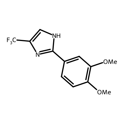 COc1ccc(-c2nc(C(F)(F)F)c[nH]2)cc1OC